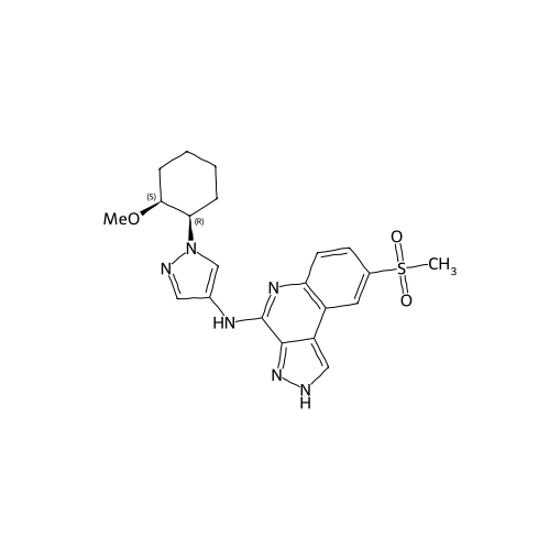 CO[C@H]1CCCC[C@H]1n1cc(Nc2nc3ccc(S(C)(=O)=O)cc3c3c[nH]nc23)cn1